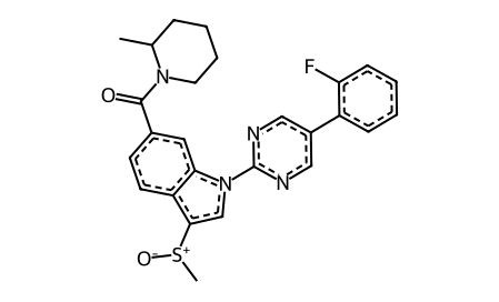 CC1CCCCN1C(=O)c1ccc2c([S+](C)[O-])cn(-c3ncc(-c4ccccc4F)cn3)c2c1